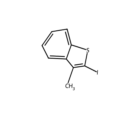 Cc1c(I)sc2ccccc12